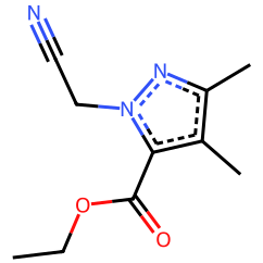 CCOC(=O)c1c(C)c(C)nn1CC#N